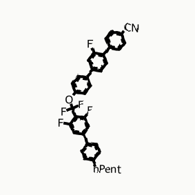 CCCCCc1ccc(-c2cc(F)c(C(F)(F)Oc3ccc(-c4ccc(-c5ccc(C#N)cc5)c(F)c4)cc3)c(F)c2)cc1